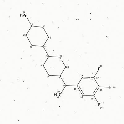 CCCC1CCC(C2CCC(C(C)c3cc(F)c(F)c(F)c3)CC2)CC1